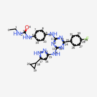 CCNC(=O)Nc1ccc(Nc2nc(Nc3cc(C4CC4)[nH]n3)nc(-c3ccc(F)cc3)n2)cc1